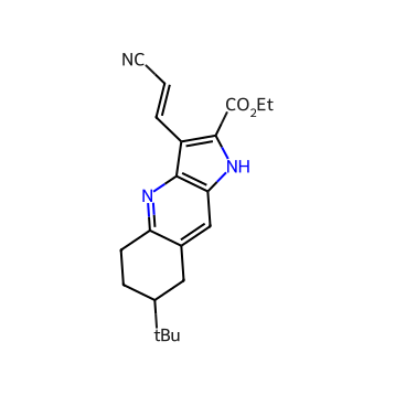 CCOC(=O)c1[nH]c2cc3c(nc2c1/C=C/C#N)CCC(C(C)(C)C)C3